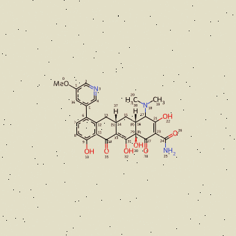 COc1cncc(-c2ccc(O)c3c2C[C@@H]2C[C@@H]4C(N(C)C)C(O)=C(C(N)=O)C(=O)[C@]4(O)C(O)=C2C3=O)c1